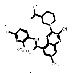 Cc1cc(C(C)Nc2ccc(Cl)nc2C(=O)O)c2nc(N3CCCC(C(F)F)C3)c(C#N)nc2c1